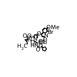 C=CC1CC12N=C([C@@H]1C[C@@H](Oc3cc(OCC)nc4c(Br)c(OC)ccc34)CN1C(=O)[C@@H](NC(=O)OC1CCCC1)C(C)(C)C)OC2=O